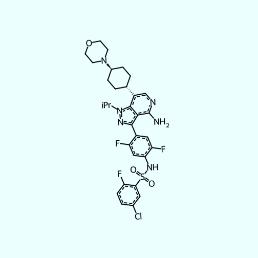 CC(C)n1nc(-c2cc(F)c(NS(=O)(=O)c3cc(Cl)ccc3F)cc2F)c2c(N)ncc([C@H]3CC[C@H](N4CCOCC4)CC3)c21